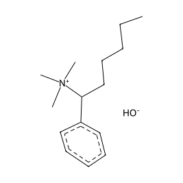 CCCCCC(c1ccccc1)[N+](C)(C)C.[OH-]